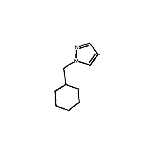 [c]1cnn(CC2CCCCC2)c1